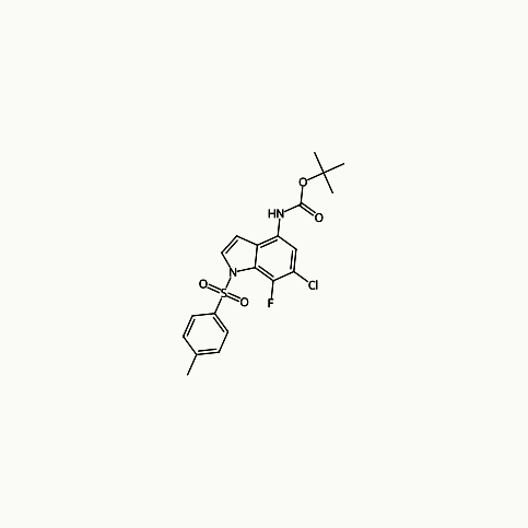 Cc1ccc(S(=O)(=O)n2ccc3c(NC(=O)OC(C)(C)C)cc(Cl)c(F)c32)cc1